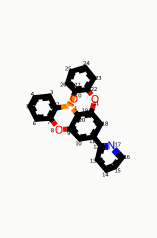 O=P12c3ccccc3Oc3cc(-c4ccccn4)cc(c31)Oc1ccccc12